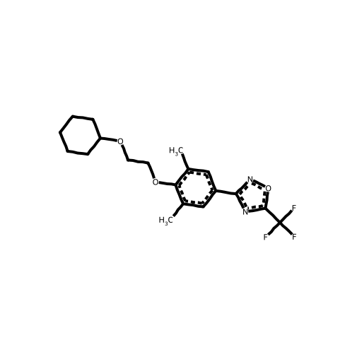 Cc1cc(-c2noc(C(F)(F)F)n2)cc(C)c1OCCOC1CCCCC1